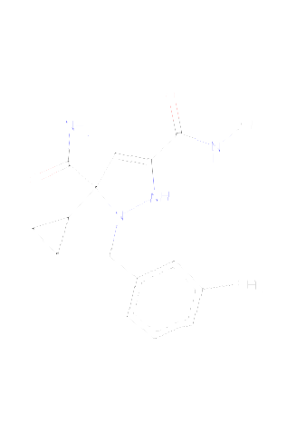 CNC(=O)C1=CC(C(N)=O)(C2CC2)N(Cc2cccc(C)c2)N1